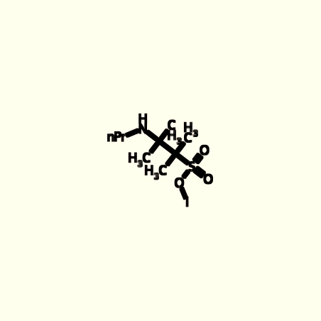 CCCNC(C)(C)C(C)(C)S(=O)(=O)OI